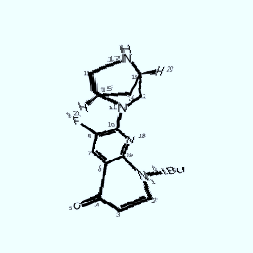 CC(C)(C)n1ccc(=O)c2cc(F)c(N3C[C@@H]4C[C@H]3CN4)nc21